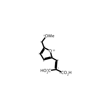 COCc1ccc(C=C(C(=O)O)C(=O)O)o1